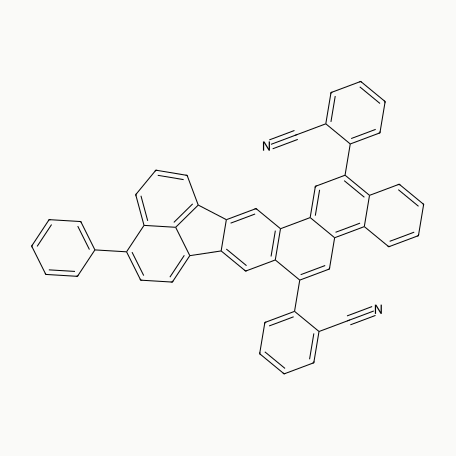 N#Cc1ccccc1-c1cc2c3cc4c(cc3c(-c3ccccc3C#N)cc2c2ccccc12)-c1ccc(-c2ccccc2)c2cccc-4c12